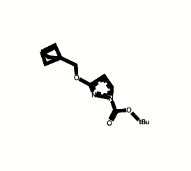 CC(C)(C)OC(=O)n1ccc(OCC23C=C(C2)C3)n1